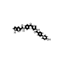 O=C(Nc1ccc(C(=O)c2ccc(NC(=O)c3cnc4[nH]ccc4c3)cc2)cc1)c1ccc(N2CCC(O)CC2)cc1